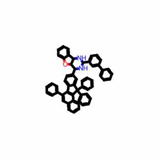 c1ccc(-c2cccc(C3NC(c4ccc5c(c4)C(c4ccccc4)(c4ccccc4)c4c-5c(-c5ccccc5)cc5ccccc45)C4Oc5ccccc5C4N3)c2)cc1